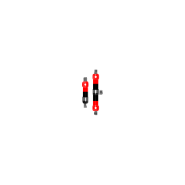 [O]=[U].[O]=[U]=[O]